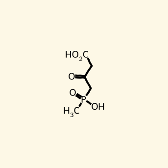 CP(=O)(O)CC(=O)CC(=O)O